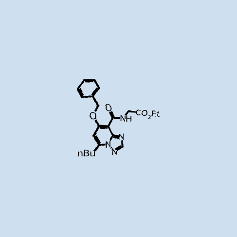 CCCCc1cc(OCc2ccccc2)c(C(=O)NCC(=O)OCC)c2ncnn12